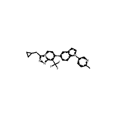 Cc1ccc(-n2ccc3cc(-c4ccn5c(CC6CC6)nnc5c4C(F)(F)F)ccc32)cn1